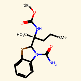 CSCC[C@](NC(=O)OC(C)(C)C)(C(=O)O)C1Sc2ccccc2N1C(N)=O